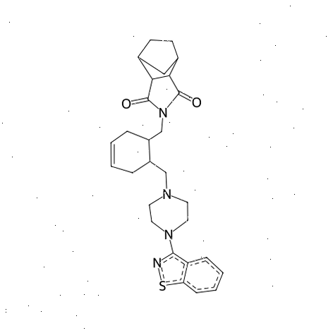 O=C1C2C3CCC(C3)C2C(=O)N1CC1CC=CCC1CN1CCN(c2nsc3ccccc23)CC1